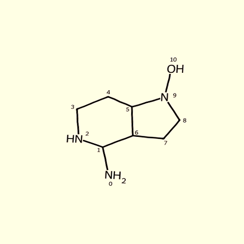 NC1NCCC2C1CCN2O